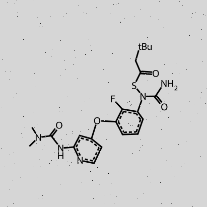 CN(C)C(=O)Nc1cc(Oc2cccc(N(SC(=O)CC(C)(C)C)C(N)=O)c2F)ccn1